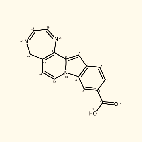 O=C(O)c1ccc2cc3c4c(ccn3c2c1)CN=CC=N4